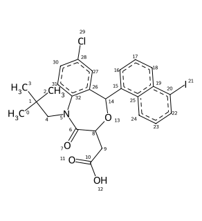 CC(C)(C)CN1C(=O)C(CC(=O)O)OC(c2cccc3c(I)cccc23)c2cc(Cl)ccc21